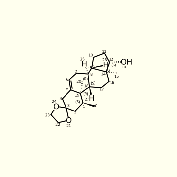 C[C@H]1CC2(CC3=CC[C@H]4[C@@H]5CC[C@H](O)[C@@]5(C)CC[C@@H]4[C@]31C)OCCO2